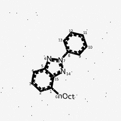 CCCCCCCCc1cccc2nn(-c3ccccc3)nc12